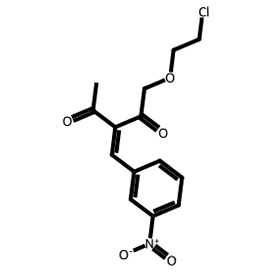 CC(=O)C(=Cc1cccc([N+](=O)[O-])c1)C(=O)COCCCl